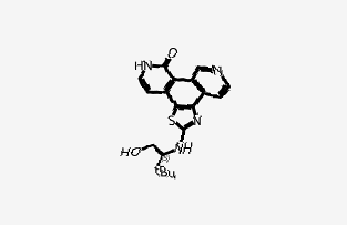 CC(C)(C)[C@@H](CO)Nc1nc2c3ccncc3c3c(=O)[nH]ccc3c2s1